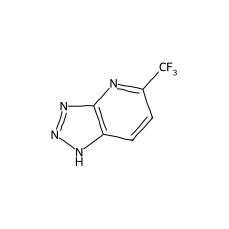 FC(F)(F)c1ccc2[nH]nnc2n1